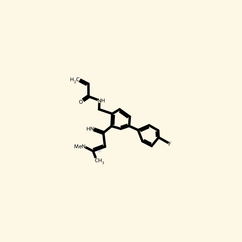 C=CC(=O)NCc1ccc(-c2ccc(F)cc2)cc1C(=N)/C=C(/C)NC